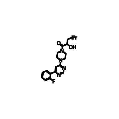 CC(C)C[C@@H](O)C(=O)N1CCN(c2cc(-c3ccccc3F)ncn2)CC1